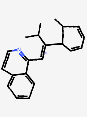 CC(C)/C(=C\c1nccc2ccccc12)C1C=CC=CC1C